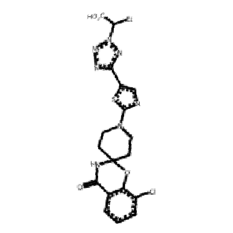 CCC(C(=O)O)n1nnc(-c2cnc(N3CCC4(CC3)NC(=O)c3cccc(Cl)c3O4)s2)n1